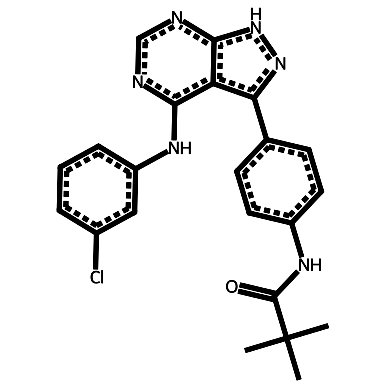 CC(C)(C)C(=O)Nc1ccc(-c2n[nH]c3ncnc(Nc4cccc(Cl)c4)c23)cc1